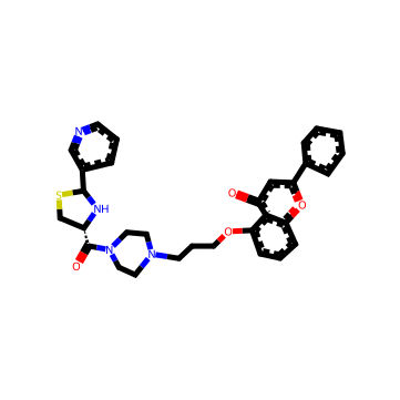 O=C([C@@H]1CSC(c2cccnc2)N1)N1CCN(CCCOc2cccc3oc(-c4ccccc4)cc(=O)c23)CC1